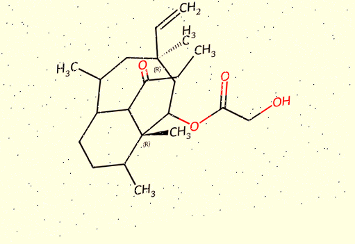 C=C[C@]1(C)CC(C)C2CCC(C)[C@@](C)(C(OC(=O)CO)C1)C2C(=O)CC